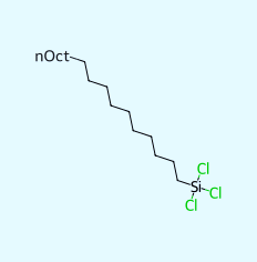 CCCCCCCCCCCCCCCCCC[Si](Cl)(Cl)Cl